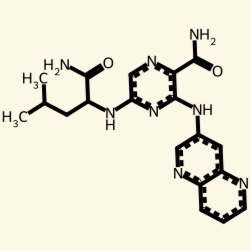 CC(C)CC(Nc1cnc(C(N)=O)c(Nc2cnc3cccnc3c2)n1)C(N)=O